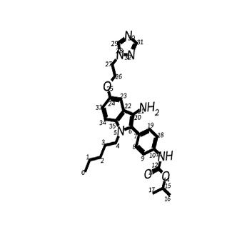 CCCCCn1c(-c2ccc(NC(=O)OC(C)C)cc2)c(N)c2cc(OCCn3cncn3)ccc21